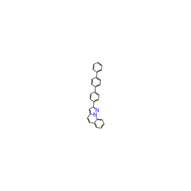 c1ccc(-c2ccc(-c3ccc(-c4cc5ccc6ccccc6n5n4)cc3)cc2)cc1